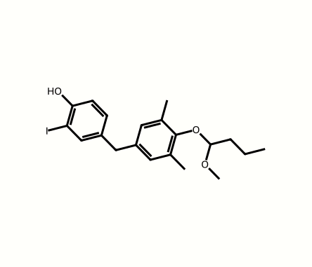 CCCC(OC)Oc1c(C)cc(Cc2ccc(O)c(I)c2)cc1C